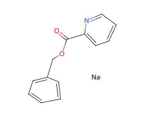 O=C(OCc1ccccc1)c1ccccn1.[Na]